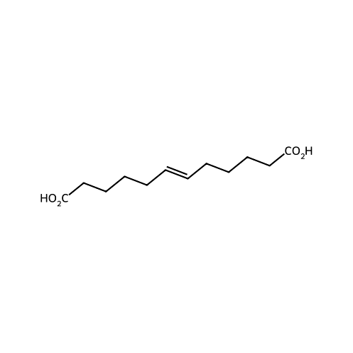 O=C(O)CCCCC=CCCCCC(=O)O